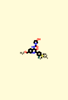 COCc1ccc(C(NC(=O)N2CCC(O)C2)C(=O)C(=N)c2ccc(S(C)(C)C)c(F)c2)cc1